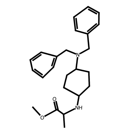 COC(=O)C(C)NC1CCC(N(Cc2ccccc2)Cc2ccccc2)CC1